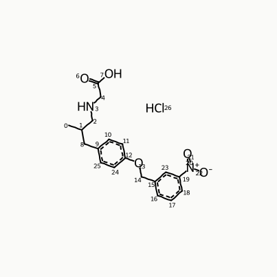 CC(CNCC(=O)O)Cc1ccc(OCc2cccc([N+](=O)[O-])c2)cc1.Cl